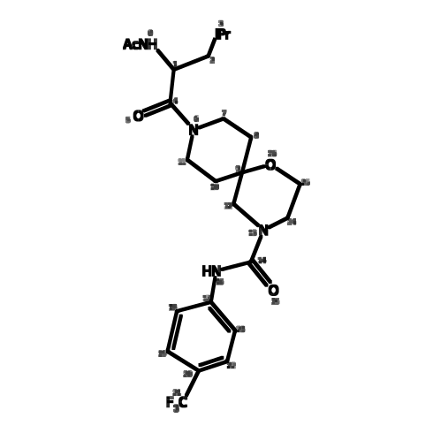 CC(=O)NC(CC(C)C)C(=O)N1CCC2(CC1)CN(C(=O)Nc1ccc(C(F)(F)F)cc1)CCO2